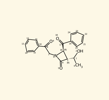 CC(O)[C@@H]1C(=O)N(CC(=O)c2ccccc2)[C@H]1C(=O)c1ccccc1